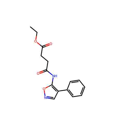 CCOC(=O)CCC(=O)Nc1oncc1-c1ccccc1